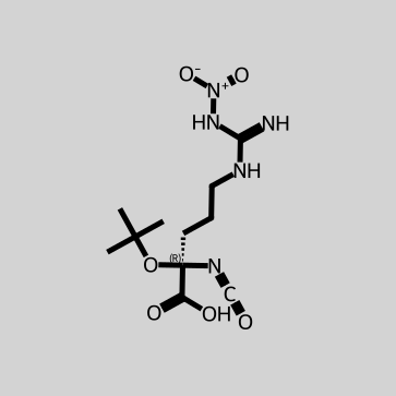 CC(C)(C)O[C@@](CCCNC(=N)N[N+](=O)[O-])(N=C=O)C(=O)O